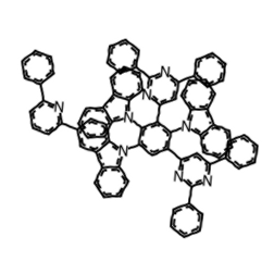 c1ccc(-c2cccc(-c3ccc4c(c3)c3ccccc3n4-c3cc(-c4cc(-c5ccccc5)nc(-c5ccccc5)n4)c(-n4c5ccccc5c5ccccc54)c(-c4cc(-c5ccccc5)nc(-c5ccccc5)n4)c3-n3c4ccccc4c4ccccc43)n2)cc1